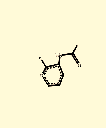 CC(=O)Nc1cccnc1F